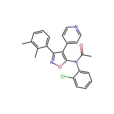 CC(=O)N(c1ccccc1Cl)c1onc(-c2cccc(C)c2C)c1-c1ccncc1